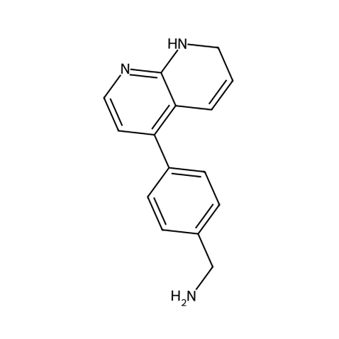 NCc1ccc(-c2ccnc3c2C=CCN3)cc1